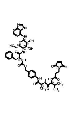 CC(C)[C@H](NC(=O)CCN1C(=O)C=CC1=O)C(=O)N[C@@H](C)C(=O)Nc1ccc(COC(=O)N[C@@H](Cc2ccccc2)C(=O)N[C@@H]2[C@@H](O)[C@H](O)[C@@H](Nc3ncnc4nc[nH]c34)O[C@H]2CO)cc1